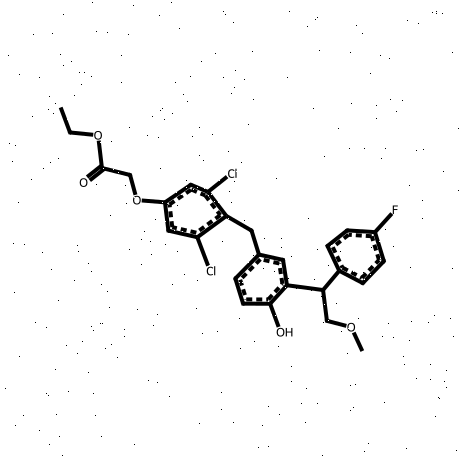 CCOC(=O)COc1cc(Cl)c(Cc2ccc(O)c(C(COC)c3ccc(F)cc3)c2)c(Cl)c1